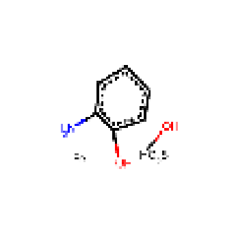 Nc1ccccc1O.O=S(=O)(O)O.[Fe]